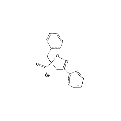 O=C(O)C1(Cc2ccccc2)CC(c2ccccc2)=NO1